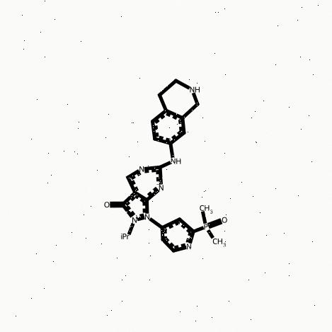 CC(C)n1c(=O)c2cnc(Nc3ccc4c(c3)CNCC4)nc2n1-c1ccnc(P(C)(C)=O)c1